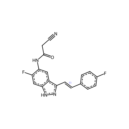 N#CCC(=O)Nc1cc2c(/C=C/c3ccc(F)cc3)n[nH]c2cc1F